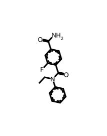 CCN(C(=O)c1ccc(C(N)=O)cc1F)c1ccccc1